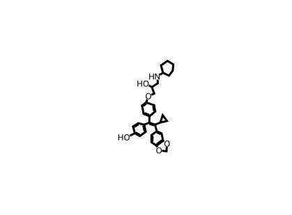 Oc1ccc(/C(=C(\c2ccc3c(c2)OCO3)C2CC2)c2ccc(OCC(O)CNC3CCCCC3)cc2)cc1